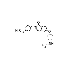 CN[C@H]1CC[C@H](Oc2ccc3c(=O)n(Cc4ccc(OC)cc4)ccc3c2)CC1